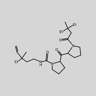 C=CC(C)(CC)CCNC(=O)N1CCCC1C(=O)C1CCCN1C(=O)CC(C)(CC)CC